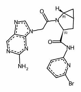 Nc1ncc2ncn(CC(=O)N3[C@@H]4CC4C[C@H]3C(=O)Nc3cccc(Br)n3)c2n1